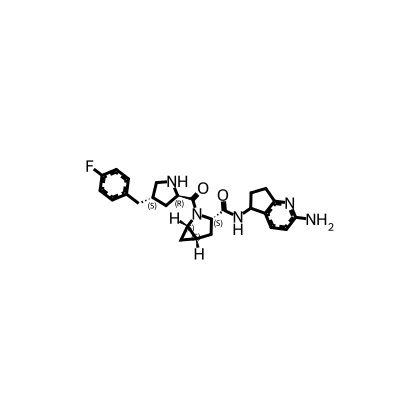 Nc1ccc2c(n1)CCC2NC(=O)[C@@H]1C[C@@H]2C[C@@H]2N1C(=O)[C@H]1C[C@H](Cc2ccc(F)cc2)CN1